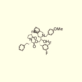 CCCC[C@H]1CCN([C@@H](CCc2ccccc2)C(=O)O[C@@H](Cc2cc(F)cc(F)c2)[C@H](O)[C@H]2Cc3ccccc3CN2Cc2ccc(OC)cc2)C1=O